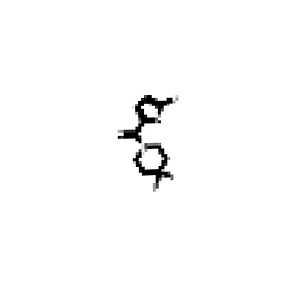 O=C(c1ccc(Br)s1)N1CCC(F)(F)CC1